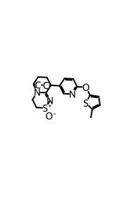 Cc1ccc(Oc2ccc(C34CCC(CC3)N3CC[S+]([O-])N=C34)cn2)s1